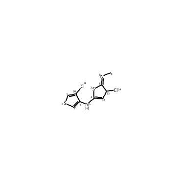 CN=C1SC(Nc2[c]scc2Cl)=CC1Cl